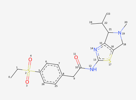 CCS(=O)(=O)c1ccc(CC(=O)Nc2nc3c(s2)CN(C)C3C(C)C)cc1